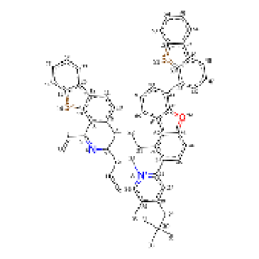 C=CCC1N=C(C=C)c2c(ccc3c2sc2ccccc23)C1CCc1c(-c2cc(CC(C)(C)C)c(C)c[n+]2C)ccc2oc3c(-c4cccc5c4sc4ccccc45)cccc3c12